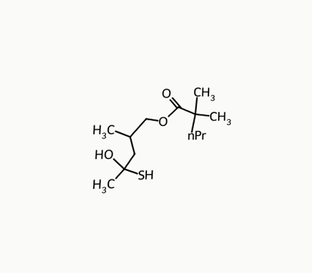 CCCC(C)(C)C(=O)OCC(C)CC(C)(O)S